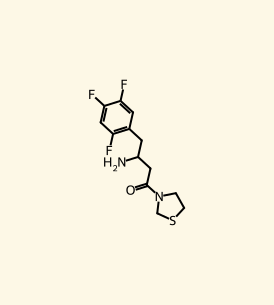 NC(CC(=O)N1CCSC1)Cc1cc(F)c(F)cc1F